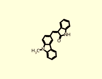 Cn1c2ccccc2c2cc(C=C3C(=O)Nc4ccccc43)ccc21